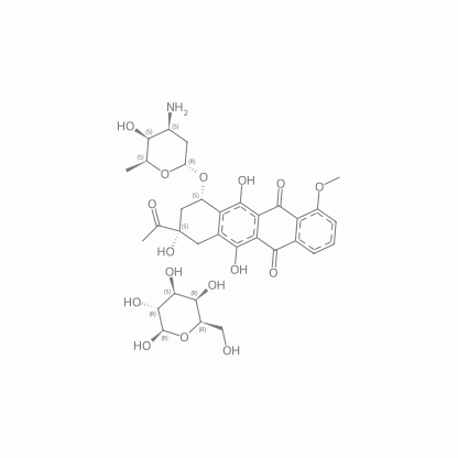 COc1cccc2c1C(=O)c1c(O)c3c(c(O)c1C2=O)C[C@@](O)(C(C)=O)C[C@@H]3O[C@H]1C[C@H](N)[C@H](O)[C@H](C)O1.OC[C@H]1O[C@@H](O)[C@H](O)[C@@H](O)[C@H]1O